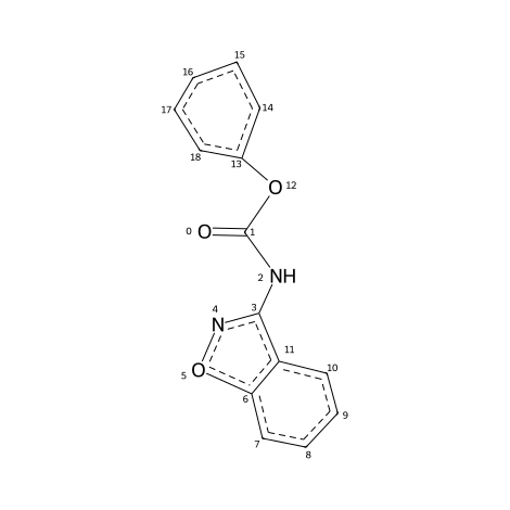 O=C(Nc1noc2ccccc12)Oc1ccccc1